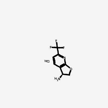 Cl.N[C@@H]1COc2nc(C(F)(F)F)ccc21